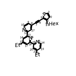 CCCCCCc1ccsc1C#Cc1ccnc(-c2cc(CC)cc(-c3cc(CC)ccn3)n2)c1